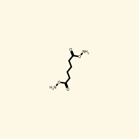 NOC(=O)CCCCC(=O)ON